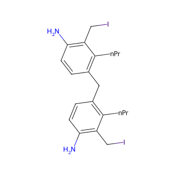 CCCc1c(Cc2ccc(N)c(CI)c2CCC)ccc(N)c1CI